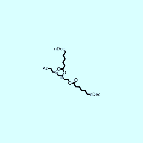 CCCCCCCCCCCCCCCC(=O)OCC[C@@H](CSCCC(C)=O)OC(=O)CCCCCCCCCCCCCCC